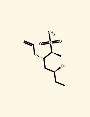 C=CC[C@@H](C[C@@H](O)CC)[C@H](C)S(N)(=O)=O